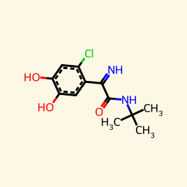 CC(C)(C)NC(=O)C(=N)c1cc(O)c(O)cc1Cl